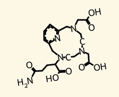 NC(=O)CCC(C(=O)O)N1CCN(CC(=O)O)CCN(CC(=O)O)Cc2cccc(n2)C1